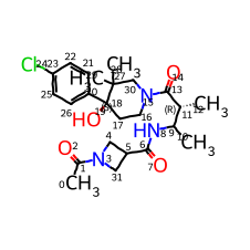 CC(=O)N1CC(C(=O)NC(C)[C@@H](C)C(=O)N2CC[C@](O)(c3ccc(Cl)cc3)C(C)(C)C2)C1